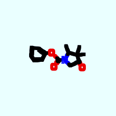 CC1N(C(=O)Oc2ccccc2)CC(=O)C1(C)C